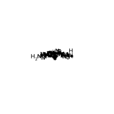 CNC(=O)Cn1cc(-c2nc(C(C)(c3ccc(-c4cnc(N)nc4)cc3)C3CCC3)no2)cn1